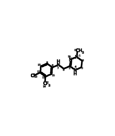 CN1CCNC(CNc2ccc(Cl)c(C(F)(F)F)c2)=N1